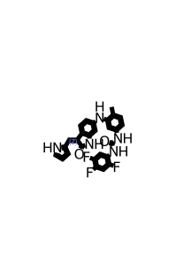 Cc1ccc(NC(=O)Nc2cc(F)c(F)cc2F)cc1Nc1ccc2c(c1)NC(=O)/C2=C\c1ccc[nH]1